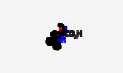 C=CO/N=C(/C(=O)O)c1csc(NC(c2ccccc2)(c2ccccc2)c2ccccc2)n1